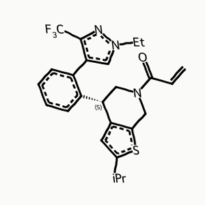 C=CC(=O)N1Cc2sc(C(C)C)cc2[C@H](c2ccccc2-c2cn(CC)nc2C(F)(F)F)C1